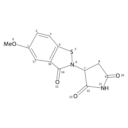 COc1ccc2sn(C3CC(=O)NC3=O)c(=O)c2c1